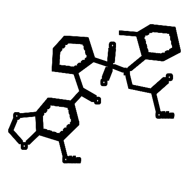 COC(=O)CN(c1ccccc1C)S(=O)(=O)c1ccccc1C(=O)c1cc(OC)c2c(c1)OCO2